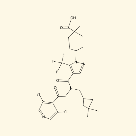 CC1(C)CC(CN(CC(=O)c2c(Cl)cncc2Cl)C(=O)c2cnn(C3CCC(C)(C(=O)O)CC3)c2C(F)(F)F)C1